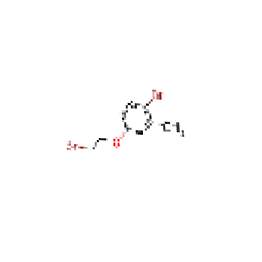 Cc1cc(OCCBr)ccc1Br